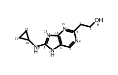 OCCc1ncc2[nH]c(NC3CC3)nc2n1